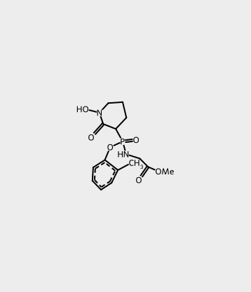 COC(=O)CNP(=O)(Oc1ccccc1C)C1CCCN(O)C1=O